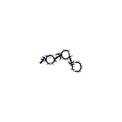 C#CC(C)(C)C(C)(N)C1(C)CCCCCC(C)(C#CC(CC)(CC)C2(C)CCCCCCC(C)(C#CC(C)(CC)C3(C)CCCCCCCCCCCC3)CCCC2)CCCCC1